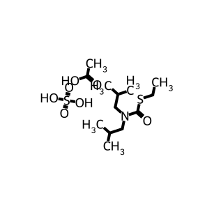 CC(=O)O.CCSC(=O)N(CC(C)C)CC(C)C.O=S(=O)(O)O